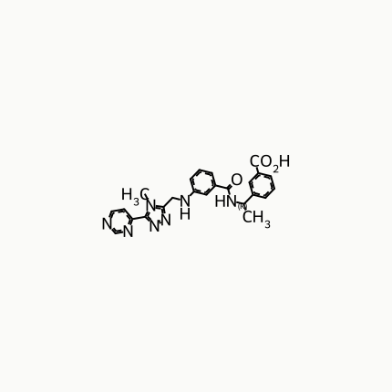 C[C@@H](NC(=O)c1cccc(NCc2nnc(-c3ccncn3)n2C)c1)c1cccc(C(=O)O)c1